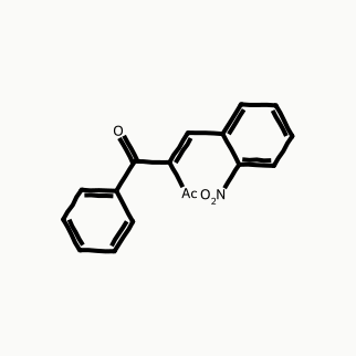 CC(=O)C(=Cc1ccccc1[N+](=O)[O-])C(=O)c1ccccc1